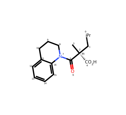 CC(C)C[C@@](C)(C(=O)O)C(=O)N1CCCc2ccccc21